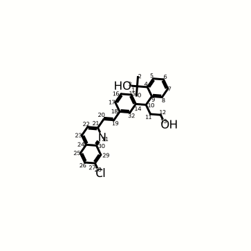 CC(C)(O)c1ccccc1C(CCO)c1cccc(C=Cc2ccc3ccc(Cl)cc3n2)c1